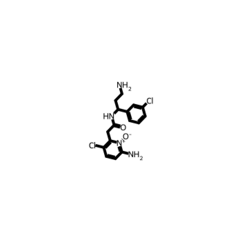 NCCC(NC(=O)Cc1c(Cl)ccc(N)[n+]1[O-])c1cccc(Cl)c1